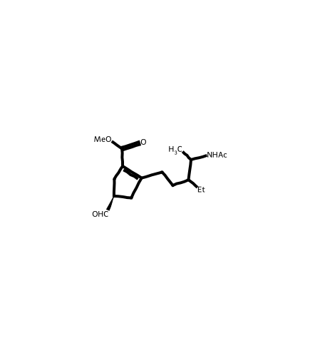 CCC(CCC1=C(C(=O)OC)C[C@H](C=O)C1)C(C)NC(C)=O